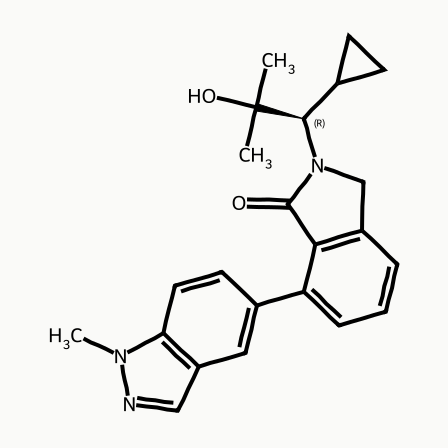 Cn1ncc2cc(-c3cccc4c3C(=O)N([C@H](C3CC3)C(C)(C)O)C4)ccc21